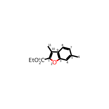 CCOC(=O)c1oc2cc(C)ccc2c1C